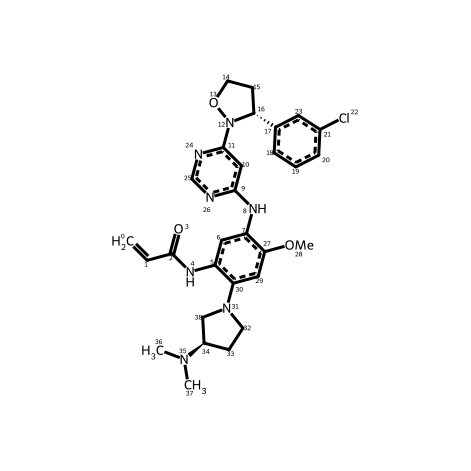 C=CC(=O)Nc1cc(Nc2cc(N3OCC[C@@H]3c3cccc(Cl)c3)ncn2)c(OC)cc1N1CC[C@@H](N(C)C)C1